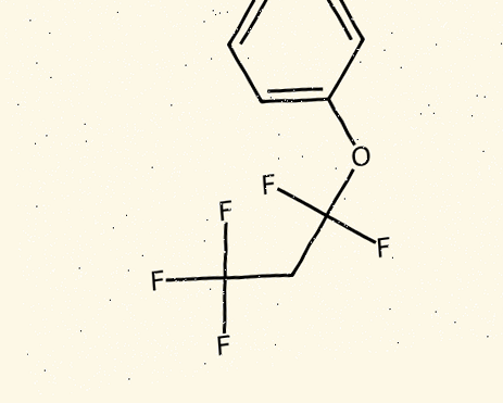 FC(F)(F)CC(F)(F)Oc1cc[c]cc1